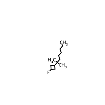 CCCCCCC(C)(C)C1CC(F)C1